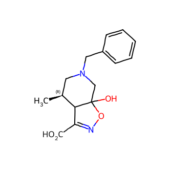 C[C@H]1CN(Cc2ccccc2)CC2(O)ON=C(C(=O)O)C12